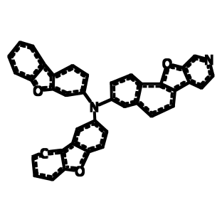 c1ccc2c(c1)oc1cc(N(c3ccc4c(ccc5c6ccncc6oc45)c3)c3ccc4oc5ccccc5c4c3)ccc12